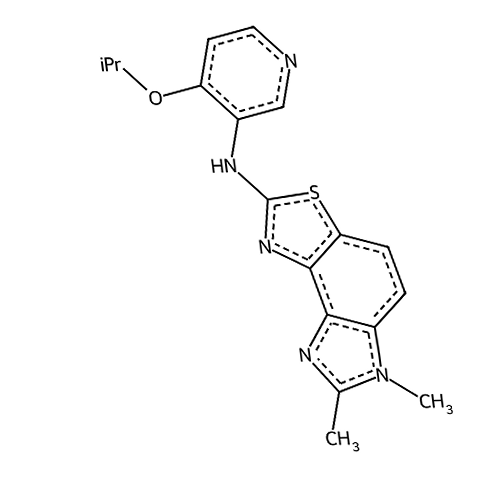 Cc1nc2c3nc(Nc4cnccc4OC(C)C)sc3ccc2n1C